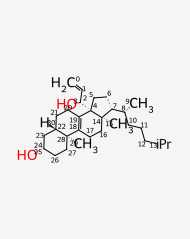 C=CC(O)[C@]12CC[C@H]([C@H](C)CCCC(C)C)[C@@]1(C)CCC1=C2CC[C@H]2C[C@@H](O)CC[C@]12C